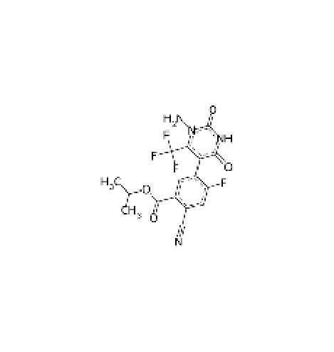 CC(C)OC(=O)c1cc(-c2c(C(F)(F)F)n(N)c(=O)[nH]c2=O)c(F)cc1C#N